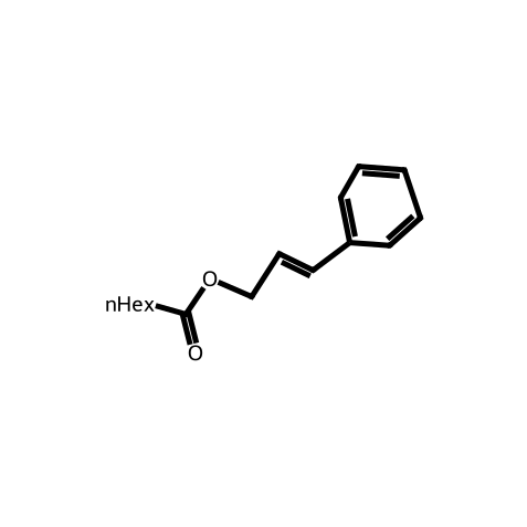 CCCCCCC(=O)OCC=Cc1ccccc1